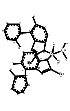 CCC(C)C1=Cc2c(ccc(C)c2-c2ccccc2C)[CH]1[Zr]([Cl])([Cl])([CH]1C(C(C)CC)=Cc2c1ccc(C)c2-c1ccccc1C)[SiH](C)C